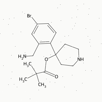 CC(C)(C)C(=O)OC1(c2ccc(Br)cc2CN)CCNCC1